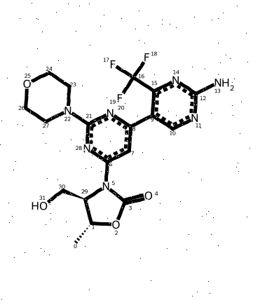 C[C@H]1OC(=O)N(c2cc(-c3cnc(N)nc3C(F)(F)F)nc(N3CCOCC3)n2)[C@@H]1CO